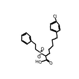 O=C(O)C(CCCCCc1ccc(Cl)cc1)S(=O)(=O)CCc1ccccc1